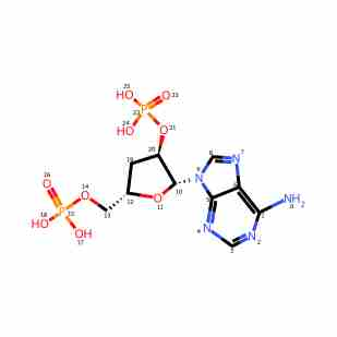 Nc1ncnc2c1ncn2[C@@H]1O[C@H](COP(=O)(O)O)C[C@H]1OP(=O)(O)O